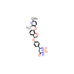 COc1ccc(Oc2cccc3c2OC[C@H]3Oc2ccc(C3CC(=O)NS(=O)(=O)N3)cc2)c(C)n1